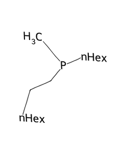 CCCCCCCCP(C)CCCCCC